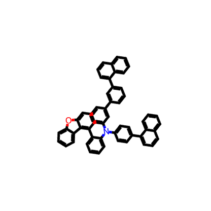 c1cc(-c2cccc(N(c3ccc(-c4cccc5ccccc45)cc3)c3ccccc3-c3cccc4oc5ccccc5c34)c2)cc(-c2cccc3ccccc23)c1